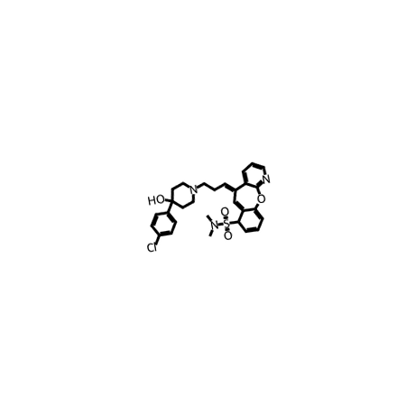 CN(C)S(=O)(=O)C1C=CC=C2Oc3ncccc3C(=CCCN3CCC(O)(c4ccc(Cl)cc4)CC3)C=C21